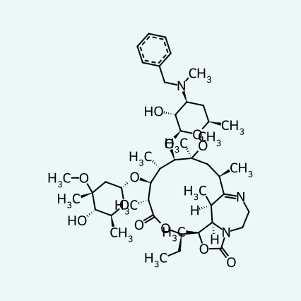 CC[C@H]1OC(=O)[C@H](C)[C@@H](O[C@H]2C[C@@](C)(OC)[C@@H](O)[C@H](C)O2)[C@H](C)[C@@H](O[C@@H]2O[C@H](C)C[C@H](N(C)Cc3ccccc3)[C@H]2O)[C@@](C)(OC)C[C@@H](C)C2=NCCN3C(=O)O[C@@]1(C)[C@H]3[C@H]2C